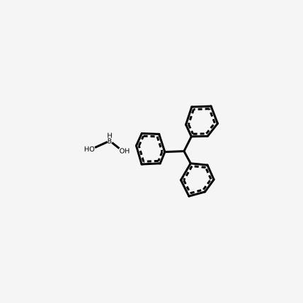 OBO.c1ccc(C(c2ccccc2)c2ccccc2)cc1